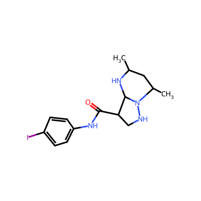 CC1CC(C)N2NCC(C(=O)Nc3ccc(I)cc3)C2N1